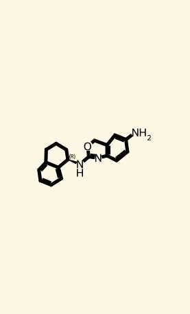 Nc1ccc2c(c1)COC(N[C@@H]1CCCc3ccccc31)=N2